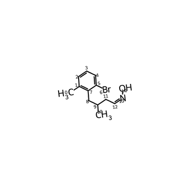 Cc1cccc(Br)c1CC(C)C/C=N\O